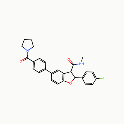 CNC(=O)C1c2cc(-c3ccc(C(=O)N4CCCC4)cc3)ccc2OC1c1ccc(F)cc1